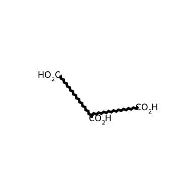 O=C(O)CCCCCCCCCCCCCCCCCCCCC(CCCCCCCCCCCCCCCCCCC(=O)O)C(=O)O